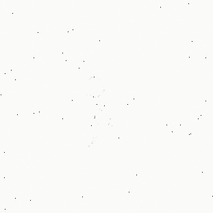 C#Cc1nc(C)n(-c2ccc(F)cc2)n1